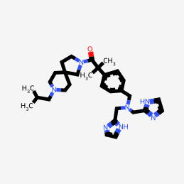 CC(C)CN1CCC2(CC1)CCN(C(=O)C(C)(C)c1ccc(CN(Cc3ncc[nH]3)Cc3ncc[nH]3)cc1)C2